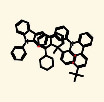 CC(C)(C)c1ccc(-c2ccccc2N(c2cccc(-c3ccc4c(c3)c3ccccc3n4-c3ccccc3)c2)c2ccccc2C2(C)C=CC=C3C=CC=C(C4CCCCC4)C32)cc1